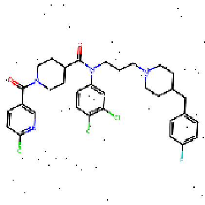 O=C(c1ccc(Cl)nc1)N1CCC(C(=O)N(CCCN2CCC(Cc3ccc(F)cc3)CC2)c2ccc(Cl)c(Cl)c2)CC1